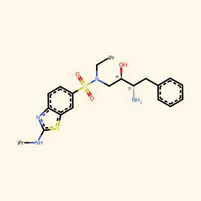 CC(C)CN(C[C@@H](O)[C@@H](N)Cc1ccccc1)S(=O)(=O)c1ccc2nc(NC(C)C)sc2c1